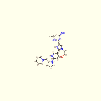 CC(C)N/C(=N\C=N)c1cn2c(n1)-c1cnc(N3CCCC3CN3CCCCC3)cc1OCC2